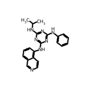 CC(C)Nc1nc(Nc2ccccc2)nc(Nc2cccc3cnccc23)n1